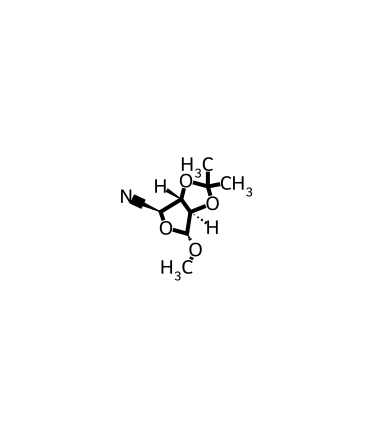 CO[C@@H]1O[C@@H](C#N)[C@@H]2OC(C)(C)O[C@@H]12